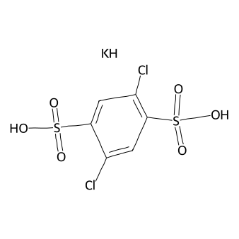 O=S(=O)(O)c1cc(Cl)c(S(=O)(=O)O)cc1Cl.[KH]